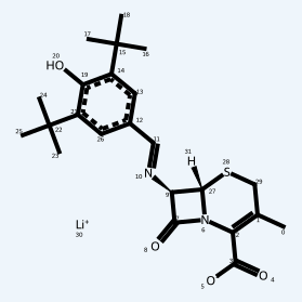 CC1=C(C(=O)[O-])N2C(=O)[C@@H](N=Cc3cc(C(C)(C)C)c(O)c(C(C)(C)C)c3)[C@@H]2SC1.[Li+]